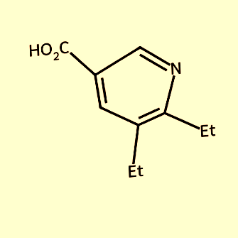 CCc1cc(C(=O)O)cnc1CC